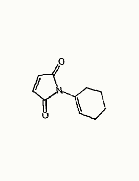 O=C1C=CC(=O)N1C1=CCCCC1